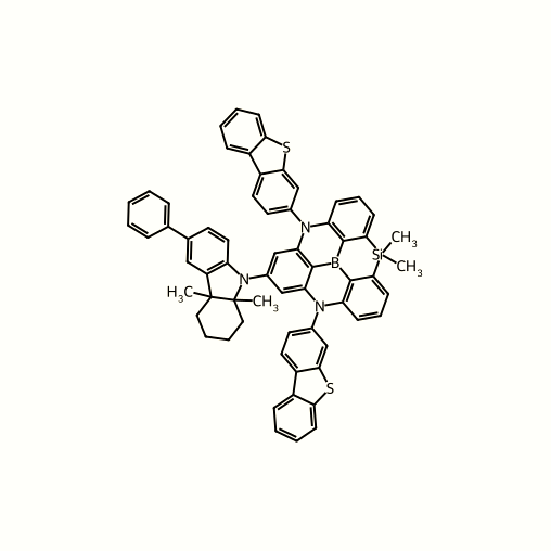 CC12CCCCC1(C)N(c1cc3c4c(c1)N(c1ccc5c(c1)sc1ccccc15)c1cccc5c1B4c1c(cccc1[Si]5(C)C)N3c1ccc3c(c1)sc1ccccc13)c1ccc(-c3ccccc3)cc12